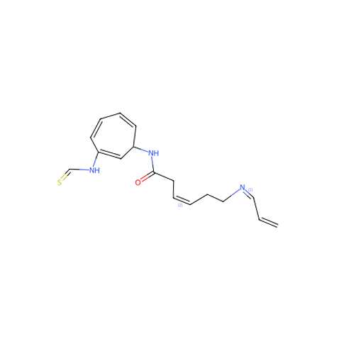 C=C/C=N\CC/C=C\CC(=O)NC1C=CC=CC(NC=S)=C1